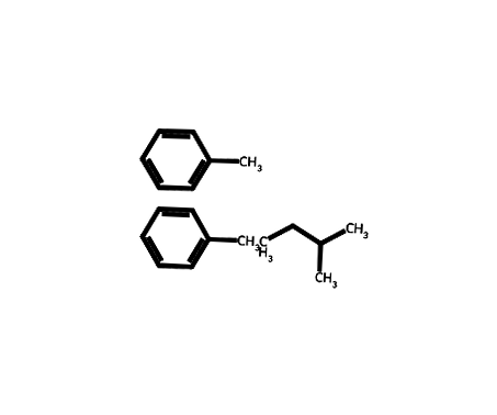 CCC(C)C.Cc1ccccc1.Cc1ccccc1